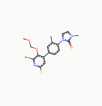 COCOc1c(-c2ccc(-n3ccn(C)c3=O)c(C)c2)cc(F)nc1Br